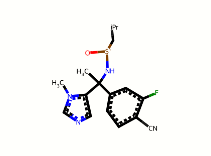 CC(C)C[S+]([O-])NC(C)(c1ccc(C#N)c(F)c1)c1cncn1C